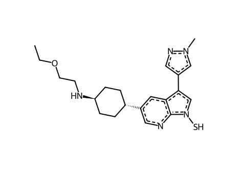 CCOCCN[C@H]1CC[C@H](c2cnc3c(c2)c(-c2cnn(C)c2)cn3S)CC1